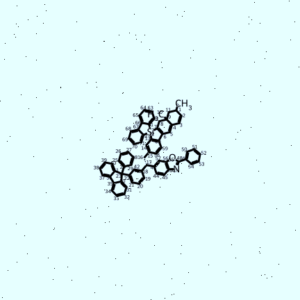 CC1C=CC2=CC3=C(CC2(C)C1)[Si]1(c2cc(C[C@@H](c4cccc(C5(c6ccccc6)c6ccccc6-c6ccccc65)c4)c4ccc5nc(-c6ccccc6)oc5c4)ccc23)c2ccccc2-c2ccccc21